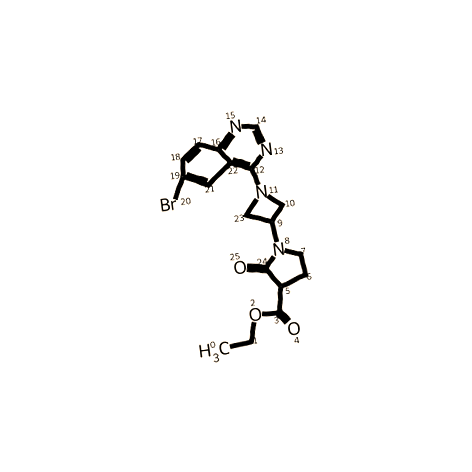 CCOC(=O)C1CCN(C2CN(c3ncnc4ccc(Br)cc34)C2)C1=O